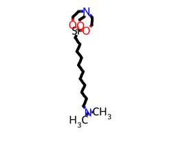 CN(C)CCCCCCCCCCC[Si]12OCCN(CCO1)CCO2